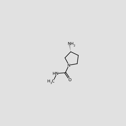 CNC(=O)N1CC[C@@H](N)C1